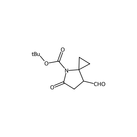 CC(C)(C)OC(=O)N1C(=O)CC(C=O)C12CC2